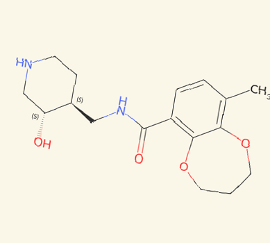 Cc1ccc(C(=O)NC[C@@H]2CCNC[C@H]2O)c2c1OCCCO2